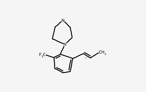 C/C=C/c1cccc(C(F)(F)F)c1N1CC[N]CC1